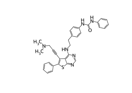 CN(C)CC#Cc1c(-c2ccccc2)sc2ncnc(NCCc3ccc(NC(=O)Nc4ccccc4)cc3)c12